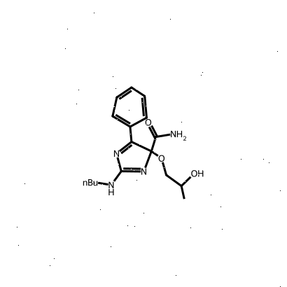 CCCCNC1=NC(OCC(C)O)(C(N)=O)C(c2ccccc2)=N1